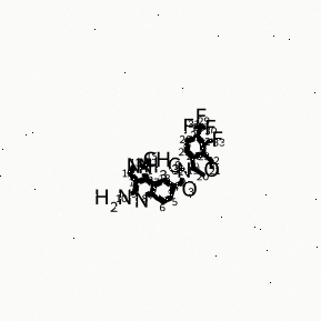 CN(C(=O)c1ccc2nc(N)c3cnn(C)c3c2c1)[C@@H]1COCc2c1ccc(C(F)(F)F)c2F